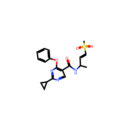 CC(/C=C/S(C)(=O)=O)NC(=O)c1cnc(C2CC2)nc1Oc1ccccc1